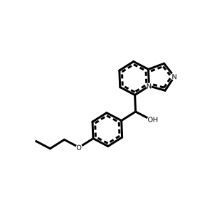 CCCOc1ccc(C(O)c2cccc3cncn23)cc1